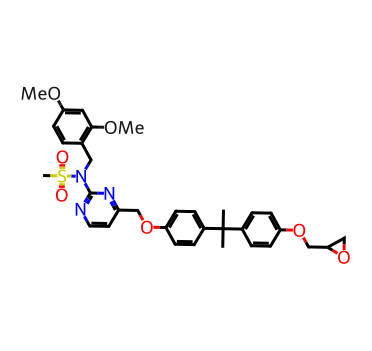 COc1ccc(CN(c2nccc(COc3ccc(C(C)(C)c4ccc(OCC5CO5)cc4)cc3)n2)S(C)(=O)=O)c(OC)c1